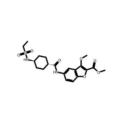 CCS(=O)(=O)N[C@H]1CC[C@H](C(=O)Nc2ccc3oc(C(=O)OC)c(OC)c3c2)CC1